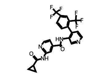 O=C(Nc1cnccc1-c1ccc(C(F)(F)F)cc1C(F)(F)F)c1ccnc(NC(=O)C2CC2)c1